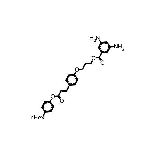 CCCCCCc1ccc(OC(=O)C=Cc2ccc(OCCCOC(=O)c3cc(N)cc(N)c3)cc2)cc1